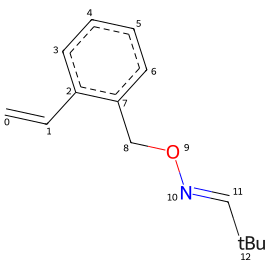 C=Cc1ccccc1CON=CC(C)(C)C